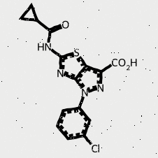 O=C(O)c1nn(-c2cccc(Cl)c2)c2nc(NC(=O)C3CC3)sc12